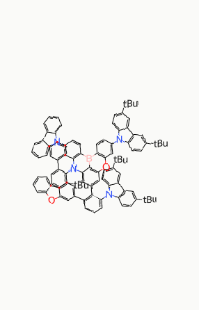 CC(C)(C)c1ccc2c(c1)c1cc(C(C)(C)C)ccc1n2-c1ccc2c(c1)Oc1cc(-c3c(-c4ccc5c(c4)oc4ccccc45)cccc3-n3c4ccc(C(C)(C)C)cc4c4cc(C(C)(C)C)ccc43)cc3c1B2c1ccc(-n2c4ccccc4c4ccccc42)cc1N3c1c(-c2ccccc2)cccc1C(C)(C)C